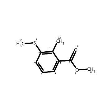 COC(=O)c1cccc(SC)c1C